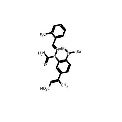 CCCCN(CCCC)c1ccc(/C(C)=C/C(=O)O)cc1N(/N=C/c1ccccc1C(F)(F)F)C(N)=O